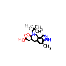 Cc1cc2c(c3cn[nH]c13)CN(CC(C)(C)C)C(=O)[C@H](CC(=O)O)C2